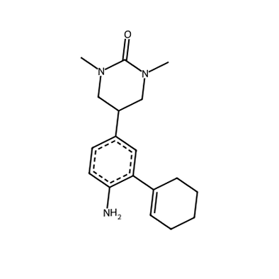 CN1CC(c2ccc(N)c(C3=CCCCC3)c2)CN(C)C1=O